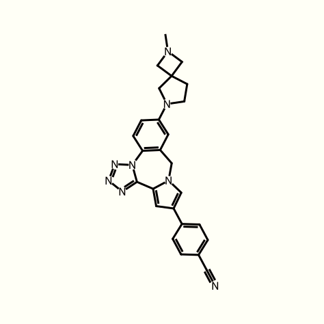 CN1CC2(CCN(c3ccc4c(c3)Cn3cc(-c5ccc(C#N)cc5)cc3-c3nnnn3-4)C2)C1